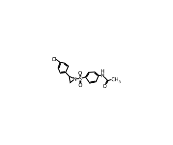 CC(=O)Nc1ccc(S(=O)(=O)N2CC2c2ccc(Cl)cc2)cc1